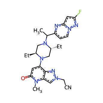 CC[C@H]1CN(C(C)c2ccn3nc(F)cc3n2)[C@H](CC)CN1c1cc(=O)n(C)c2cn(CC#N)nc12